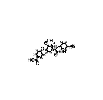 COc1cc(C(Nc2ccc(C#N)cc2)C(=O)O)ccc1Oc1ccc(C(=O)O)cc1